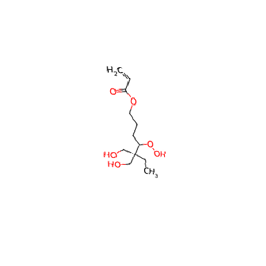 C=CC(=O)OCCCC(OO)C(CC)(CO)CO